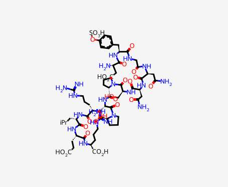 CC(C)C[C@H](NC(=O)[C@H](CCCNC(=N)N)NC(=O)[C@@H]1CCCN1C(=O)[C@H](CO)NC(=O)[C@@H]1CCCN1C(=O)[C@H](CO)NC(=O)[C@H](CC(N)=O)NC(=O)[C@H](CC(N)=O)NC(=O)CNC(=O)[C@H](Cc1ccc(OS(=O)(=O)O)cc1)NC(=O)[C@@H](N)CC(=O)O)C(=O)N[C@@H](CCC(=O)O)C(=O)N[C@@H](CCCNC(=N)N)C(=O)O